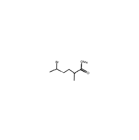 COC(=O)C(C)CCC(C)Br